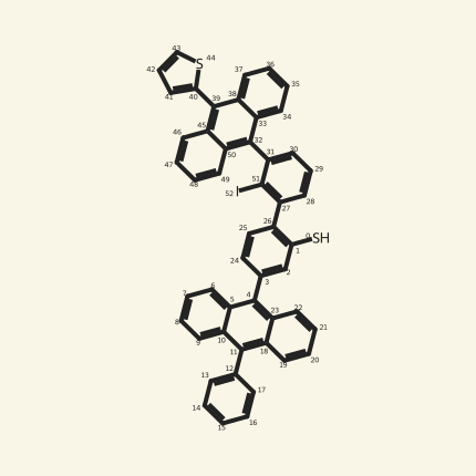 Sc1cc(-c2c3ccccc3c(-c3ccccc3)c3ccccc23)ccc1-c1cccc(-c2c3ccccc3c(-c3cccs3)c3ccccc23)c1I